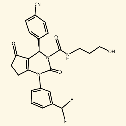 N#Cc1ccc([C@@H]2C3=C(CCC3=O)N(c3cccc(C(F)F)c3)C(=O)N2C(=O)NCCCO)cc1